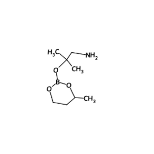 CC1CCOB(OC(C)(C)CN)O1